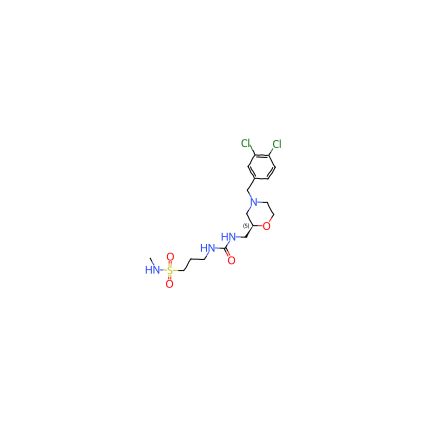 CNS(=O)(=O)CCCNC(=O)NC[C@H]1CN(Cc2ccc(Cl)c(Cl)c2)CCO1